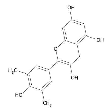 Cc1cc(C2=C(O)Cc3c(O)cc(O)cc3O2)cc(C)c1O